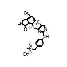 CCOP(C)(=O)Cc1ccc(Nc2ncc(C(F)(F)F)c(Nc3ccc(Br)c4c3C(=O)N(C)C4)n2)cc1